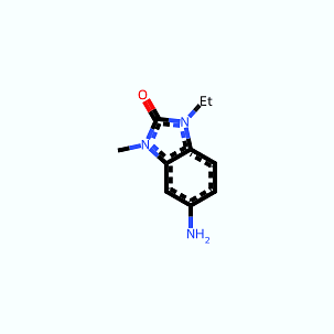 CCn1c(=O)n(C)c2cc(N)ccc21